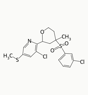 CSc1cnc(C2CC(C)(S(=O)(=O)c3cccc(Cl)c3)CCO2)c(Cl)c1